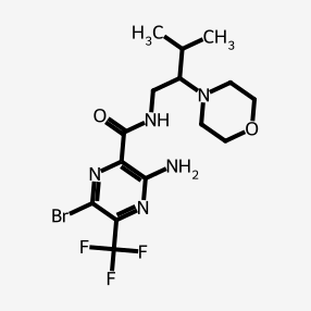 CC(C)C(CNC(=O)c1nc(Br)c(C(F)(F)F)nc1N)N1CCOCC1